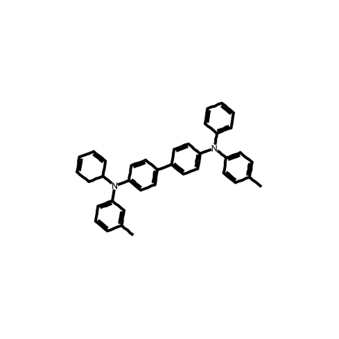 Cc1ccc(N(c2ccccc2)c2ccc(-c3ccc(N(c4cccc(C)c4)C4C=CC=CC4)cc3)cc2)cc1